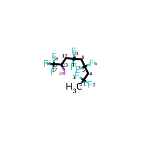 CC(F)(F)CC(F)(F)CC(F)(F)CC(I)C(F)(F)F